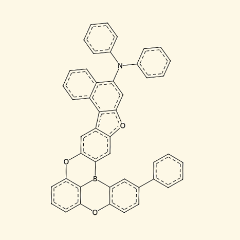 c1ccc(-c2ccc3c(c2)B2c4cc5oc6cc(N(c7ccccc7)c7ccccc7)c7ccccc7c6c5cc4Oc4cccc(c42)O3)cc1